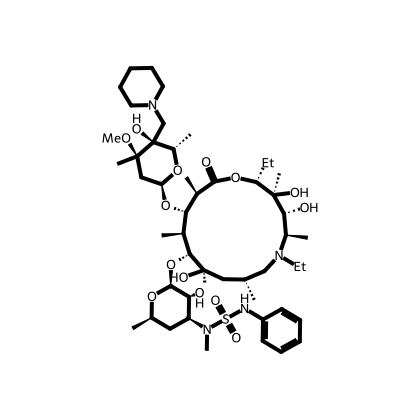 CC[C@H]1OC(=O)[C@H](C)[C@@H](O[C@H]2C[C@@](C)(OC)[C@](O)(CN3CCCCC3)[C@H](C)O2)[C@H](C)[C@@H](O[C@@H]2O[C@H](C)C[C@H](N(C)S(=O)(=O)Nc3ccccc3)[C@H]2O)[C@](C)(O)C[C@@H](C)CN(CC)[C@H](C)[C@@H](O)[C@]1(C)O